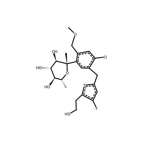 COCc1cc(Cl)c(Cc2cc(F)c(CCO)s2)cc1[C@]1(C)O[C@H](C)[C@@H](O)[C@H](O)[C@H]1O